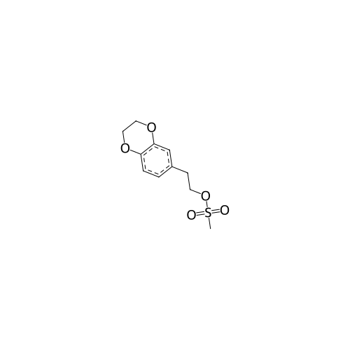 CS(=O)(=O)OCCc1ccc2c(c1)OCCO2